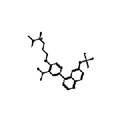 C[C@@H](CCCOc1cnc(-c2ccnc3ccc(OC(F)(F)F)cc23)cc1C(F)F)N(C)C